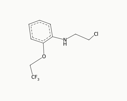 FC(F)(F)COc1ccccc1NCCCl